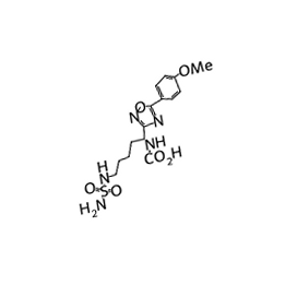 COc1ccc(-c2nc(C(CCCCNS(N)(=O)=O)NC(=O)O)no2)cc1